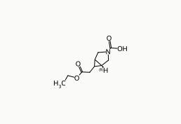 CCOC(=O)CC1C2CN(C(=O)O)C[C@H]12